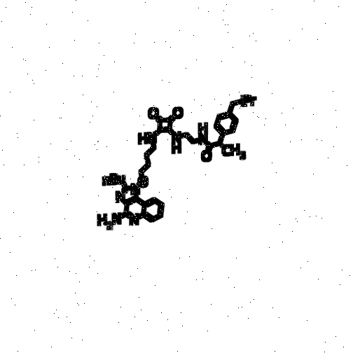 CCCCc1nc2c(N)nc3ccccc3c2n1OCCCCNc1c(NCCNC(=O)[C@@H](C)c2ccc(CC(C)C)cc2)c(=O)c1=O